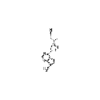 CC(CC#N)n1cc(-c2ncnc3c2ccn3P)cn1